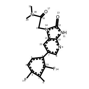 Cc1c(F)ccc(-c2cnc3[nH]c(=O)n(CC(=O)N(C)C)c3c2)c1F